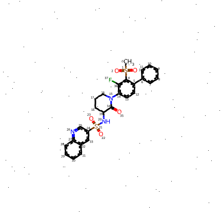 CS(=O)(=O)c1c(-c2ccccc2)ccc(N2CCCC(NS(=O)(=O)c3cnc4ccccc4c3)C2=O)c1F